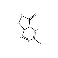 O=C1CCC2C=CC(Cl)=NC12